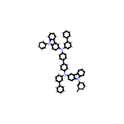 CC1C=C(n2c3ccccc3c3cc(N(c4ccc(-c5ccc(N(c6cccc(-c7ccccc7)c6)c6ccc7c(c6)c6ccccc6n7C6=CCCC=C6)cc5)cc4)c4cccc(-c5ccccc5)c4)ccc32)C=CC1